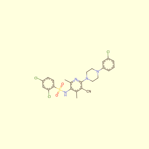 Cc1nc(N2CCN(c3cccc(Cl)c3)CC2)c(C#N)c(C)c1NS(=O)(=O)c1ccc(Cl)cc1Cl